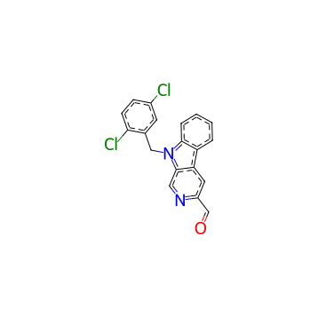 O=Cc1cc2c3ccccc3n(Cc3cc(Cl)ccc3Cl)c2cn1